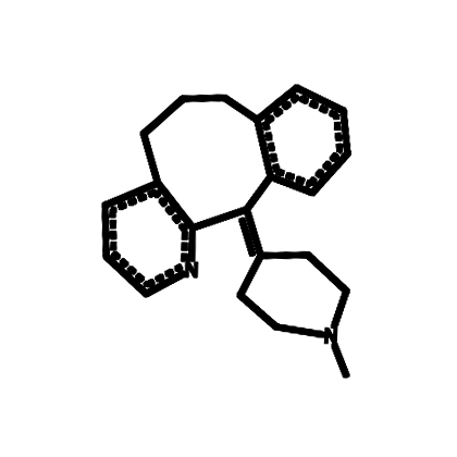 CN1CCC(=C2c3ccccc3CCCc3cccnc32)CC1